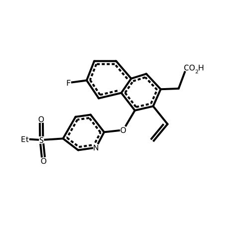 C=Cc1c(CC(=O)O)cc2ccc(F)cc2c1Oc1ccc(S(=O)(=O)CC)cn1